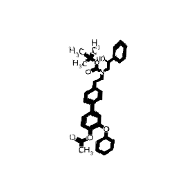 CC(=O)Oc1ccc(-c2ccc(CCN(C[C@@H](O)c3ccccc3)C(=O)OC(C)(C)C)cc2)cc1OC1CCCCC1